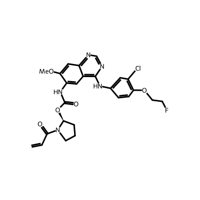 C=CC(=O)N1CCC[C@@H]1OC(=O)Nc1cc2c(Nc3ccc(OCCF)c(Cl)c3)ncnc2cc1OC